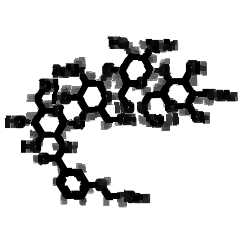 CCCCCCCCCCCOc1cccc(C(=O)NC2[C@H](O[C@@H]3C(CO)O[C@@H](O[C@@H]4C(CO)O[C@@H](O[C@@H]5C(COS(=O)(=O)O)OC(O)C(NC(C)=O)C5O)C(NC(C)=O)[C@H]4O)C(NC(C)=O)C3O)OC(CO)[C@@H](O)[C@@H]2O)c1